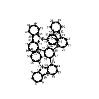 c1ccc(-n2c3ccccc3c3cccc(-c4cc(-c5cccc6c5sc5ccccc56)cc(-c5cccc6c7ccccc7n(-c7ccccc7)c56)c4)c32)cc1